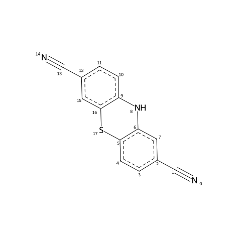 N#Cc1ccc2c(c1)Nc1ccc(C#N)cc1S2